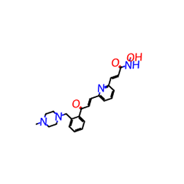 CN1CCN(Cc2ccccc2C(=O)C=Cc2cccc(C=CC(=O)NO)n2)CC1